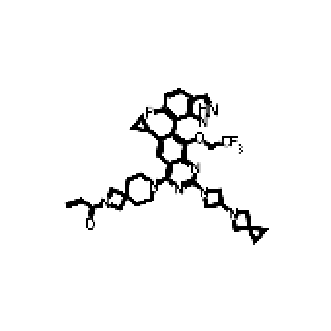 C=CC(=O)N1CC2(CCN(c3nc(N4CC(N5CC6(CC6)C5)C4)nc4c(OCC(F)(F)F)c(-c5c(F)ccc6cn[nH]c56)c(C5CC5)cc34)CC2)C1